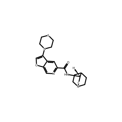 O=C(N[C@H]1CN2CCC1CC2)c1cc2c(N3CCSCC3)coc2cn1